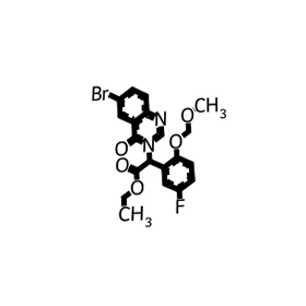 CCOC(=O)C(c1cc(F)ccc1OCOC)n1cnc2ccc(Br)cc2c1=O